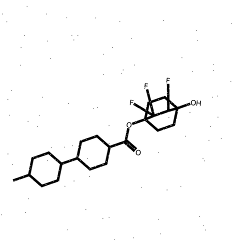 CC1CCC(C2CCC(C(=O)OC34CCC(O)(CC3)C(F)C4(F)F)CC2)CC1